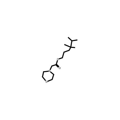 CC(C)C(C)(C)CCCOC(=O)CN1CCOCC1